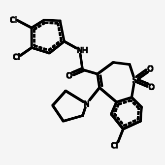 O=C(Nc1ccc(Cl)c(Cl)c1)C1=C(N2CCCC2)c2cc(Cl)ccc2S(=O)(=O)CC1